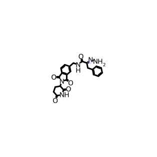 N/N=C(\Cc1ccccc1)C(=O)NCc1ccc2c(c1)C(=O)N(C1CCC(=O)NC1=O)C2=O